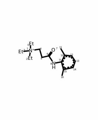 CC[N+](CC)(CC)CCC(=O)Nc1c(C)cccc1C